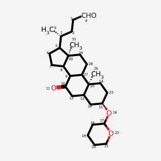 C[C@H](CCC=O)C1CCC2C3C(=O)CC4C[C@H](OC5CCCCO5)CC[C@]4(C)C3CC[C@@]21C